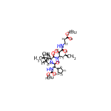 C=CCC(NC(=O)[C@@H]1[C@H]2[C@@H](CN1C(=O)[C@@H](NC(=O)OC(C)(C)C)C1CCCC1)C2(C)C)C(=O)C(=O)NCCC(=O)OC(C)(C)C